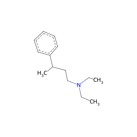 CCN(CC)CCC(C)c1ccccc1